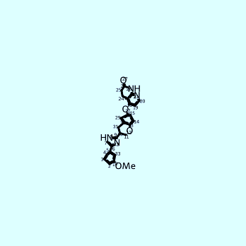 COc1cccc(-c2c[nH]c(C3COc4ccc(Oc5ccnc6c5CCC(=O)N6)cc4C3)n2)c1